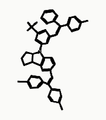 Cc1ccc(C(=Cc2ccc3c(c2)C2CCCC2N3c2cc(/C=C(\c3ccccc3)c3ccc(C)cc3)cc(C(C)(C)C)c2)c2ccc(C)cc2)cc1